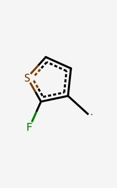 [CH2]c1ccsc1F